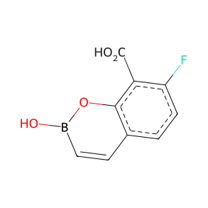 O=C(O)c1c(F)ccc2c1OB(O)C=C2